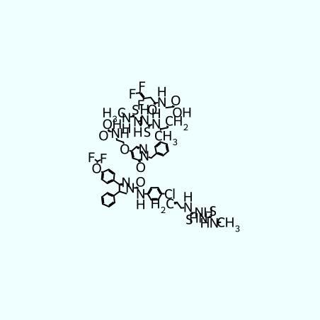 C=CC(C)NC(=S)NNC(=S)NC.C=CCNC(=S)NNC(=S)NC.O=C(Nc1ccc(Cl)cc1)N1CC(c2ccccc2)C(c2ccc(OC(F)F)cc2)=N1.O=C(O)CNC(=O)CC(F)=C(F)F.O=C(O)NCCOc1cnn(Cc2ccccc2)c(=O)c1